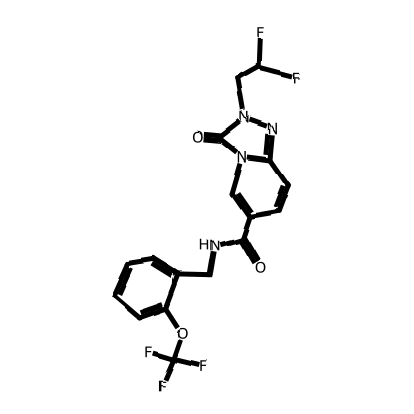 O=C(NCc1ccccc1OC(F)(F)F)c1ccc2nn(CC(F)F)c(=O)n2c1